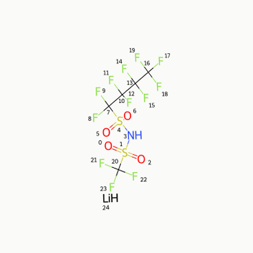 O=S(=O)(NS(=O)(=O)C(F)(F)C(F)(F)C(F)(F)C(F)(F)F)C(F)(F)F.[LiH]